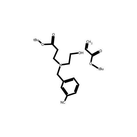 C=CC(=O)OC(C)(C)C.CC(C)(C)OC(=O)CCN(CCO)Cc1cccc(C#N)c1